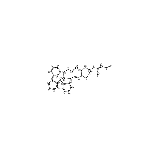 CCOC(=O)CN1CCC(/C=C2/CN(C(c3ccccc3)(c3ccccc3)c3ccccc3)CCC2=O)CC1